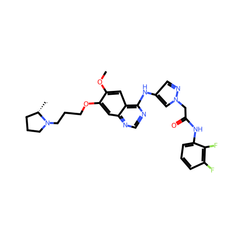 [CH2][C@H]1CCCN1CCCOc1cc2ncnc(Nc3cnn(CC(=O)Nc4cccc(F)c4F)c3)c2cc1OC